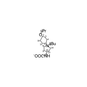 CC(C)O[C@H]1CC[C@@H]([N+]2(C(C)(C)C)CCC(NC(=O)[O-])CC2)CC1